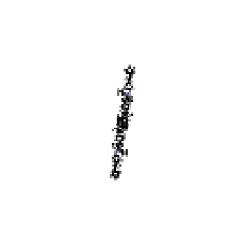 N#C/C(=C\c1ccc(OCc2ccccc2)cc1)C(=O)Oc1ccc(C(=O)O[C@H]2CO[C@H]3[C@@H]2OC[C@H]3OC(=O)c2ccc(OC(=O)/C(C#N)=C/c3ccc(OCc4ccccc4)cc3)cc2)cc1